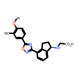 CC(C)Oc1ccc(-c2nc(-c3cccc4c3CC[C@H]4NCC(=O)O)no2)cc1C#N